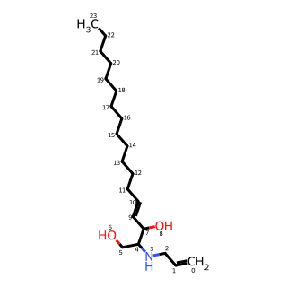 C=CCNC(CO)C(O)C=CCCCCCCCCCCCCC